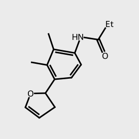 CCC(=O)Nc1ccc(C2CC=CO2)c(C)c1C